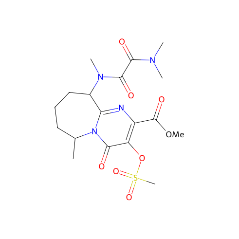 COC(=O)c1nc2n(c(=O)c1OS(C)(=O)=O)C(C)CCCC2N(C)C(=O)C(=O)N(C)C